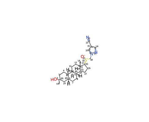 C[C@@]1(O)CC[C@H]2[C@H](CC[C@@H]3[C@@H]2CC[C@]2(C)[C@@H]([S+]([O-])Cn4cc(C#N)cn4)CC[C@@H]32)C1